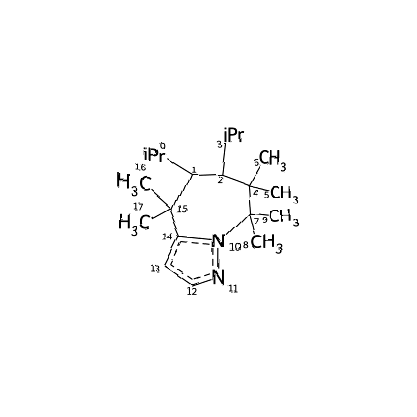 CC(C)C1C(C(C)C)C(C)(C)C(C)(C)n2nccc2C1(C)C